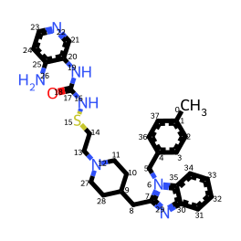 Cc1ccc(Cn2c(CC3CCN(CCSNC(=O)Nc4cnccc4N)CC3)nc3ccccc32)cc1